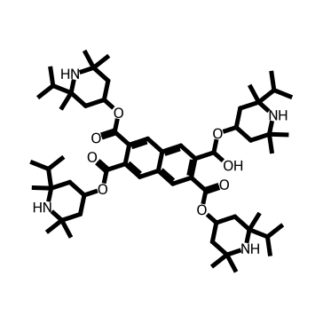 CC(C)C1(C)CC(OC(=O)c2cc3cc(C(=O)OC4CC(C)(C)NC(C)(C(C)C)C4)c(C(O)OC4CC(C)(C)NC(C)(C(C)C)C4)cc3cc2C(=O)OC2CC(C)(C)NC(C)(C(C)C)C2)CC(C)(C)N1